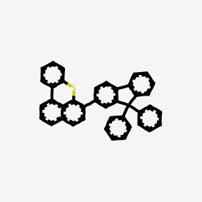 c1ccc(C2(c3ccccc3)c3ccccc3-c3ccc(-c4ccc5cccc6c5c4Sc4ccccc4-6)cc32)cc1